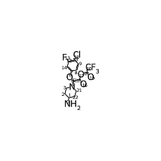 NC1CCN([C@@H](Oc2ccc(Cl)c(F)c2)C(=O)OC(=O)C(F)(F)F)CC1